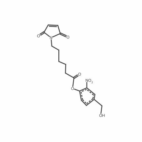 O=C(CCCCCN1C(=O)C=CC1=O)Oc1ccc(CO)cc1[N+](=O)[O-]